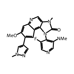 CNc1cncc(F)c1-n1c(=O)n(C)c2cnc3cc(OC)c(-c4cnn(C)c4)cc3c21